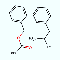 CCC(Cc1ccccc1)C(=O)O.CCCC(=O)OCc1ccccc1